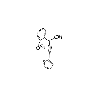 OC(C#Cc1cccs1)c1ccccc1C(F)(F)F